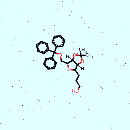 CC1(C)O[C@@H]2C(COC(c3ccccc3)(c3ccccc3)c3ccccc3)OC(CCCO)[C@@H]2O1